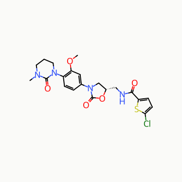 COc1cc(N2C[C@H](CNC(=O)c3ccc(Cl)s3)OC2=O)ccc1N1CCCN(C)C1=O